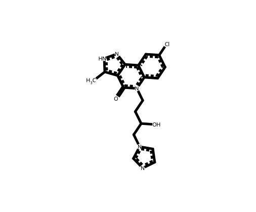 Cc1[nH]nc2c1c(=O)n(CCC(O)Cn1ccnc1)c1ccc(Cl)cc21